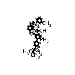 COc1cc(P)c(-c2ccc(C(=O)OC(C)(C)C)cc2)cc1C(=O)N[C@H]1[C@@H](C(=O)Nc2cccc(C)c2)[C@@H]2C=C[C@H]1C2